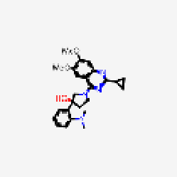 COc1cc2nc(C3CC3)nc(N3CCC(O)(c4ccccc4N(C)C)C3)c2cc1OC